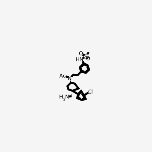 CC(=O)N(CCc1cccc(NS(C)(=O)=O)c1)[C@H]1CC[C@](CN)(c2cccc(Cl)c2)CC1